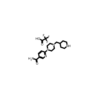 NC(=O)c1ccc(N2CCN(CC3CCNCC3)CC2)nc1.O=C(O)C(F)(F)F